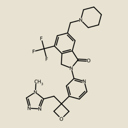 Cn1cnnc1CC1(c2ccnc(N3Cc4c(cc(CN5CCCCC5)cc4C(F)(F)F)C3=O)c2)COC1